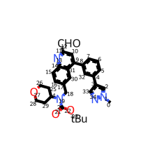 Cn1cc(-c2cccc(-c3cc(C=O)nc4ccc(CN(C(=O)OC(C)(C)C)C5CCOCC5)cc34)c2)cn1